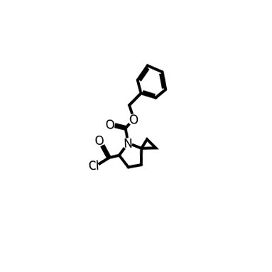 O=C(Cl)C1CCC2(CC2)N1C(=O)OCc1ccccc1